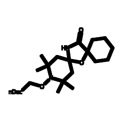 CCCCCCCCCCCON1C(C)(C)CC2(CC1(C)C)NC(=O)C1(CCCCC1)O2